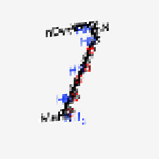 C=C(CCC(NC(=C)CCCCCCCCCCCCCCC)C(=C)C#N)NCCOCCCCCC(=O)NCCOCCCCCC(=O)NCCCCC(NC)C(N)=O